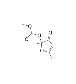 COC(=O)OC1(C)OC(C)=CC1=O